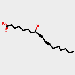 CCCCCCC#CC#CC(O)CCCCCCC(=O)O